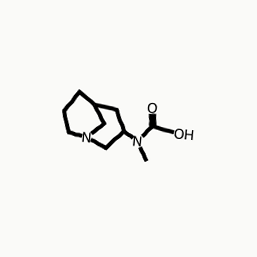 CN(C(=O)O)C1CC2CCCN(C2)C1